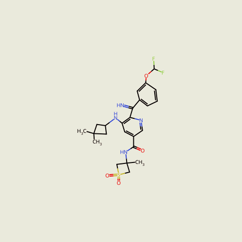 CC1(C)CC(Nc2cc(C(=O)NC3(C)CS(=O)(=O)C3)cnc2C(=N)c2cccc(OC(F)F)c2)C1